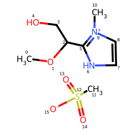 COC(CO)c1[nH]cc[n+]1C.CS(=O)(=O)[O-]